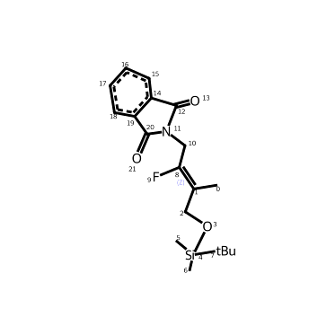 C/C(CO[Si](C)(C)C(C)(C)C)=C(/F)CN1C(=O)c2ccccc2C1=O